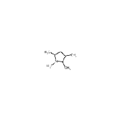 CC1CC(C)N(C)C1C